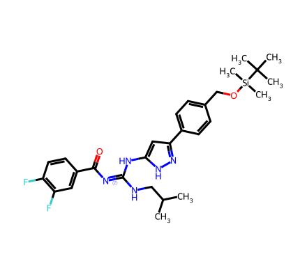 CC(C)CN/C(=N/C(=O)c1ccc(F)c(F)c1)Nc1cc(-c2ccc(CO[Si](C)(C)C(C)(C)C)cc2)n[nH]1